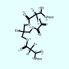 C=C(C)C(=O)OCC(CC)(COC(=O)C(F)(F)C(CC)CCCCC)COC(=O)C(F)(F)C(CC)CCCCC